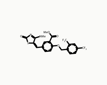 CNC1=NC(=O)SC1=Cc1ccc(OCc2ccc(C(F)(F)F)cc2C(F)(F)F)c(C(=O)OC)c1